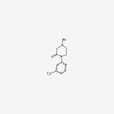 CCC(C)N1CCN(c2cc(C(F)(F)F)ccn2)C(=O)C1